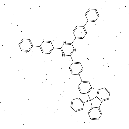 c1ccc(-c2ccc(-c3nc(-c4ccc(-c5ccccc5)cc4)nc(-c4ccc(-c5ccc(C6(c7ccccc7)c7ccccc7-c7ccccc76)cc5)cc4)n3)cc2)cc1